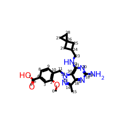 COc1cc(C(=O)O)ccc1Cn1nc(C)c2nc(N)nc(NCC3CC4(CC4)C3)c21